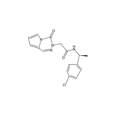 C[C@H](NC(=O)Cn1ncc2cccn2c1=O)c1ccc(Cl)cc1